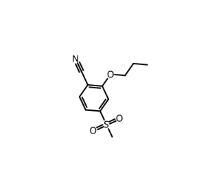 CCCOc1cc(S(C)(=O)=O)ccc1C#N